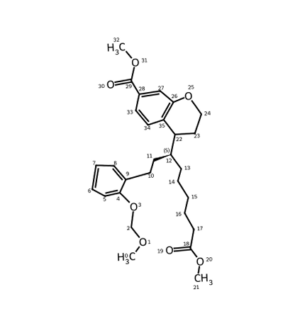 COCOc1ccccc1CC[C@H](CCCCCC(=O)OC)C1CCOc2cc(C(=O)OC)ccc21